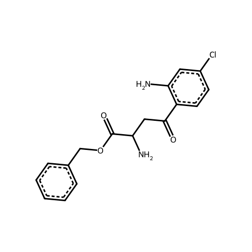 Nc1cc(Cl)ccc1C(=O)CC(N)C(=O)OCc1ccccc1